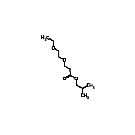 CCOCCOCCC(=O)OCC(C)C